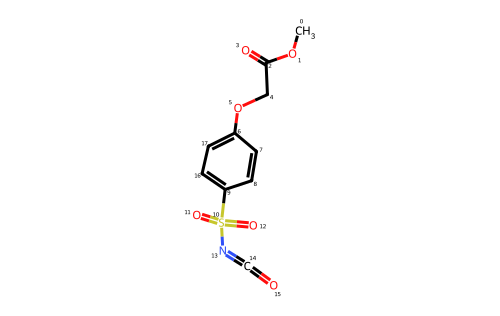 COC(=O)COc1ccc(S(=O)(=O)N=C=O)cc1